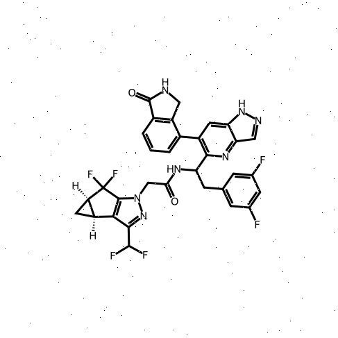 O=C(Cn1nc(C(F)F)c2c1C(F)(F)[C@@H]1C[C@H]21)NC(Cc1cc(F)cc(F)c1)c1nc2cn[nH]c2cc1-c1cccc2c1CNC2=O